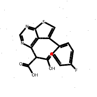 O=C(O)C(C(=O)O)c1ncnc2scc(-c3ccc(F)cc3)c12